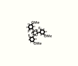 COc1ccc(F)c(B2OB(c3cc(OC)ccc3F)OB(c3cc(OC)ccc3F)O2)c1